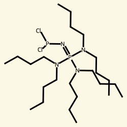 CCCCN(CCCC)P(=NP(Cl)Cl)(N(CCCC)CCCC)N(CCCC)CCCC